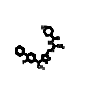 CC(c1ccc(-c2ccccc2)c(F)c1)c1cc(CN=C(N)NC(=O)C2CCNCC2)on1